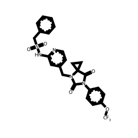 O=C1N(c2ccc(OC(F)(F)F)cc2)C(=O)C2(CC2)N1Cc1ccnc(NS(=O)(=O)Cc2ccccc2)c1